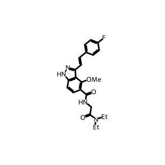 CCN(CC)C(=O)CNC(=O)c1ccc2[nH]nc(/C=C/c3ccc(F)cc3)c2c1OC